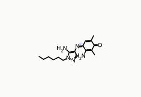 CCCCCCn1ncc(/N=C2/C=C(C)C(=O)C(C)=C2N)c1N